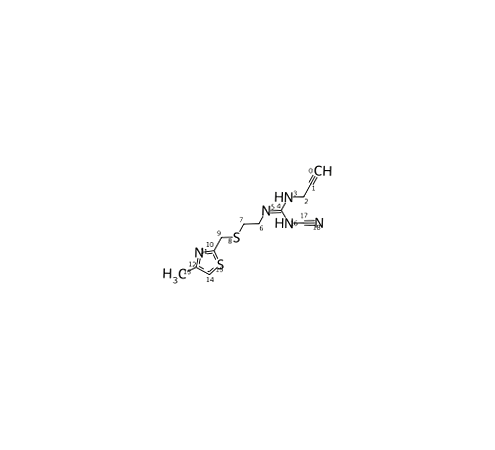 C#CCN/C(=N/CCSCc1nc(C)cs1)NC#N